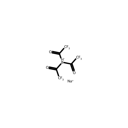 O=C([BH-](C(=O)C(F)(F)F)C(=O)C(F)(F)F)C(F)(F)F.[Na+]